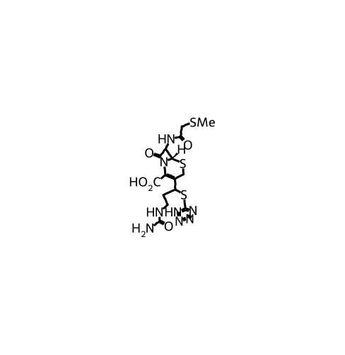 CSCC(=O)NC1C(=O)N2C(C(=O)O)=C(C(CCNC(N)=O)Sc3nnn[nH]3)CS[C@@H]12